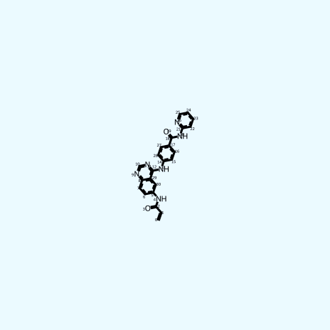 C=CC(=O)Nc1ccc2ncnc(Nc3ccc(C(=O)Nc4ccccn4)cc3)c2c1